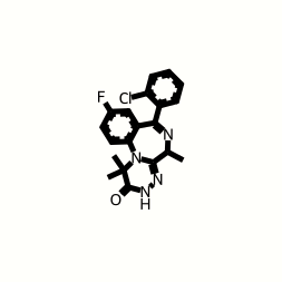 CC1N=C(c2ccccc2Cl)c2cc(F)ccc2N2C1=NNC(=O)C2(C)C